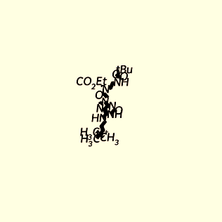 CCOC(=O)CN(CCNC(=O)OC(C)(C)C)C(=O)Cn1cnc2c(NCCC[N+](C)(C)C)[nH]c(=O)nc21